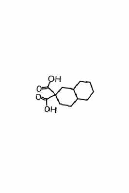 O=C(O)C1(C(=O)O)CCC2CCCCC2C1